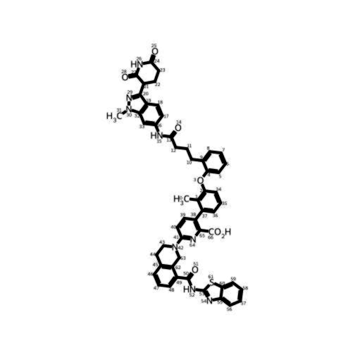 Cc1c(Oc2ccccc2CCCC(=O)Nc2ccc3c(C4CCC(=O)NC4=O)nn(C)c3c2)cccc1-c1ccc(N2CCc3cccc(C(=O)Nc4nc5ccccc5s4)c3C2)nc1C(=O)O